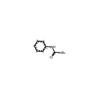 CCCCC(=O)Nc1cc[c]cc1